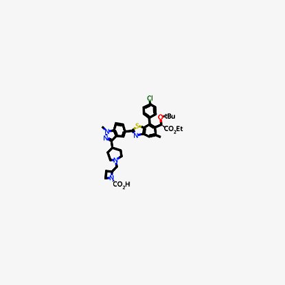 CCOC(=O)[C@@H](OC(C)(C)C)c1c(C)cc2nc(-c3ccc4c(c3)c(C3CCN(CC5CCN5C(=O)O)CC3)nn4C)sc2c1-c1ccc(Cl)cc1